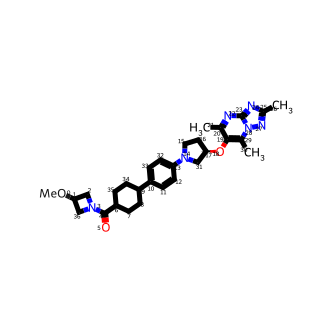 COC1CN(C(=O)C2CCC(c3ccc(N4CC[C@@H](Oc5c(C)nc6nc(C)nn6c5C)C4)cc3)CC2)C1